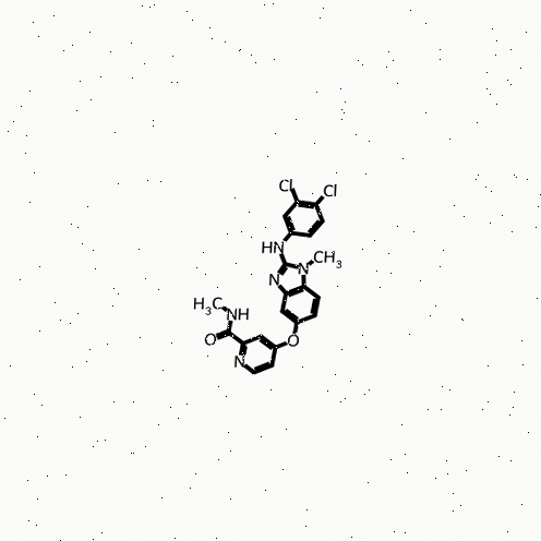 CNC(=O)c1cc(Oc2ccc3c(c2)nc(Nc2ccc(Cl)c(Cl)c2)n3C)ccn1